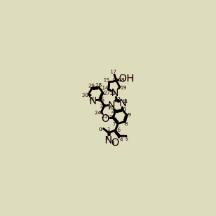 Cc1noc(C)c1-c1ccc2nc(N3CCC(C)(O)C3)n3c2c1OCC3c1ccccn1